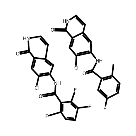 Cc1ccc(F)cc1C(=O)Nc1cc2cc[nH]c(=O)c2cc1Cl.O=C(Nc1cc2cc[nH]c(=O)c2cc1Cl)c1c(F)ccc(F)c1F